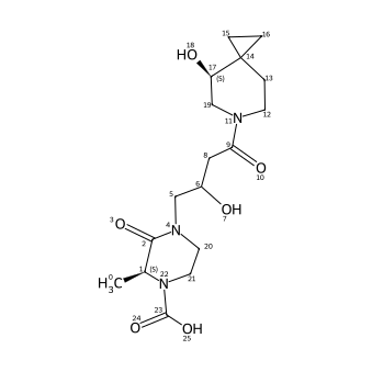 C[C@H]1C(=O)N(CC(O)CC(=O)N2CCC3(CC3)[C@H](O)C2)CCN1C(=O)O